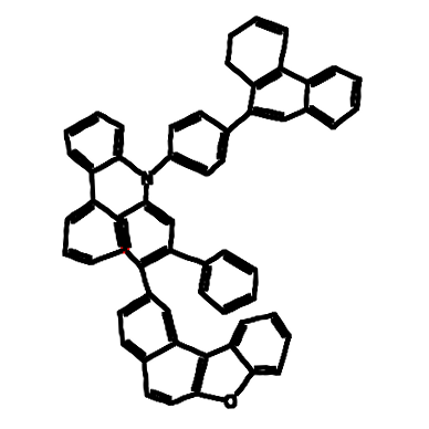 C1=Cc2c(c(-c3ccc(N(c4ccc(-c5ccc6ccc7oc8ccccc8c7c6c5)c(-c5ccccc5)c4)c4ccccc4-c4ccccc4)cc3)cc3ccccc23)CC1